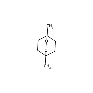 CC12CCC(C)(CC1)OC2